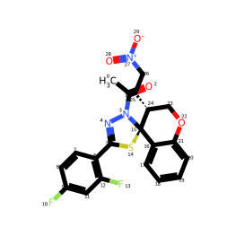 CC(=O)N1N=C(c2ccc(F)cc2F)S[C@@]12c1ccccc1OC[C@H]2CC[N+](=O)[O-]